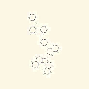 c1ccc(Cc2ccccc2-c2ccccc2Cc2ccc(-c3nc(-n4c5ccc6ccccc6c5c5c6ccccc6ccc54)nc4ccccc34)cc2)cc1